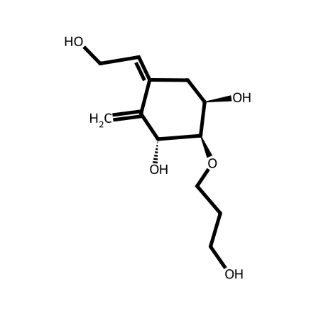 C=C1/C(=C\CO)C[C@@H](O)[C@@H](OCCCO)[C@@H]1O